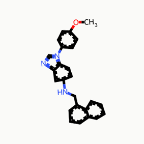 COc1ccc(-n2cnc3cc(NCc4cccc5ccccc45)ccc32)cc1